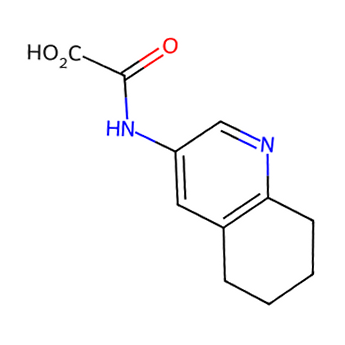 O=C(O)C(=O)Nc1cnc2c(c1)CCCC2